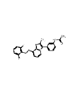 CC(=O)Nc1cccc(-c2c(C)nc3c(OCc4c(F)cccc4F)cccn23)c1